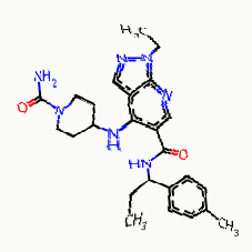 CC[C@@H](NC(=O)c1cnc2c(cnn2CC)c1NC1CCN(C(N)=O)CC1)c1ccc(C)cc1